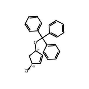 Cl[C@@H]1C=C[C@H](OC(c2ccccc2)(c2ccccc2)c2ccccc2)C1